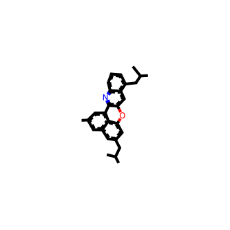 Cc1cc2c3c(cc(CC(C)C)cc3c1)Oc1cc3c(CC(C)C)cccc3nc1-2